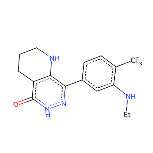 CCNc1cc(-c2n[nH]c(=O)c3c2NCCC3)ccc1C(F)(F)F